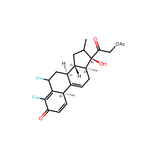 CC(=O)OCC(=O)[C@@]1(O)C(C)C[C@H]2[C@@H]3CC(F)C4=C(F)C(=O)C=C[C@]4(C)C3=CC[C@@]21C